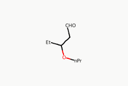 CCCOC(CC)CC=O